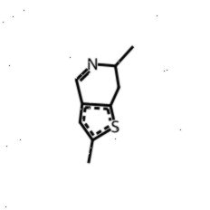 Cc1cc2c(s1)CC(C)N=C2